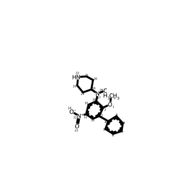 COc1c(-c2ccccc2)cc([N+](=O)[O-])cc1N(C)C1CCNCC1